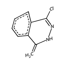 C=C1NN=C(Cl)c2ccccc21